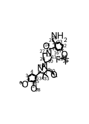 COc1ccc(C2=NN(C3CCN(C(=O)c4cc(OC(F)F)ccc4CN)CC3)C(C=O)C2(C)C)cc1OC